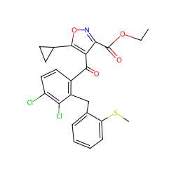 CCOC(=O)c1noc(C2CC2)c1C(=O)c1ccc(Cl)c(Cl)c1Cc1ccccc1SC